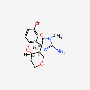 CN1C(=O)[C@]2(N=C1N)c1cc(Br)ccc1O[C@H]1CCOC[C@@H]12